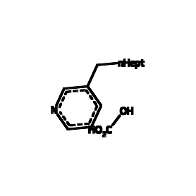 CCCCCCCCc1cccnc1.O=C(O)O